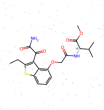 CCc1sc2cccc(OCC(=O)N[C@H](C(=O)OC)C(C)C)c2c1C(=O)C(N)=O